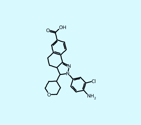 Nc1ccc(N2N=C3c4ccc(C(=O)O)cc4CCC3C2C2CCOCC2)cc1Cl